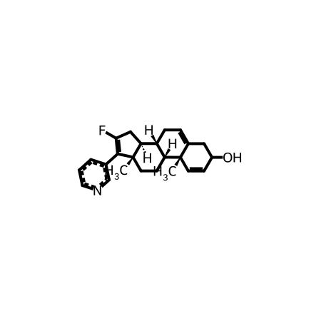 C[C@]12C=CC(O)CC1=CC[C@@H]1[C@H]2CC[C@]2(C)C(c3cccnc3)=C(F)C[C@@H]12